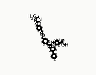 Cc1cncc(Oc2ccc(/C=N/OCc3ccc(-c4nc5cc(-c6ccccc6)ccn5c4Nc4ccc(C(=O)O)cc4)cc3)cc2)n1